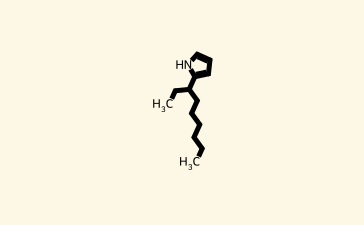 CCCCCCC(CC)c1ccc[nH]1